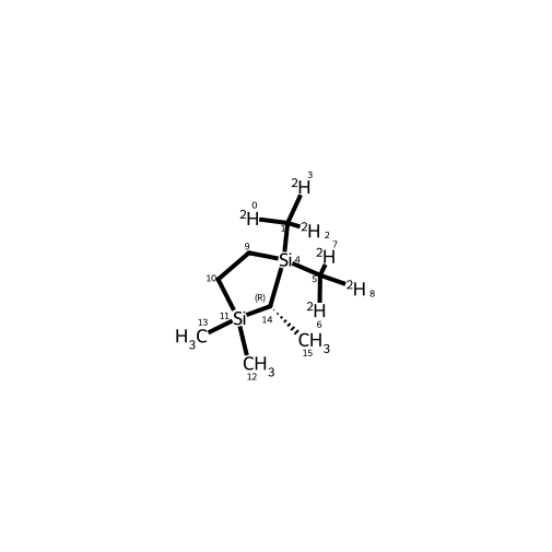 [2H]C([2H])([2H])[Si]1(C([2H])([2H])[2H])CC[Si](C)(C)[C@H]1C